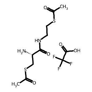 CC(=O)SCCNC(=O)[C@@H](N)CSC(C)=O.O=C(O)C(F)(F)F